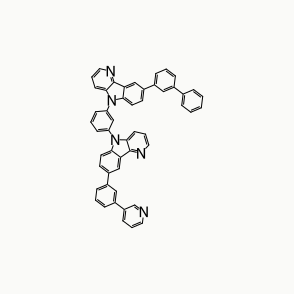 c1ccc(-c2cccc(-c3ccc4c(c3)c3ncccc3n4-c3cccc(-n4c5ccc(-c6cccc(-c7cccnc7)c6)cc5c5ncccc54)c3)c2)cc1